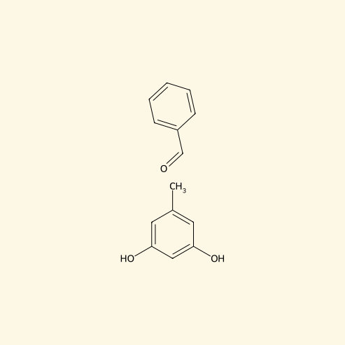 Cc1cc(O)cc(O)c1.O=Cc1ccccc1